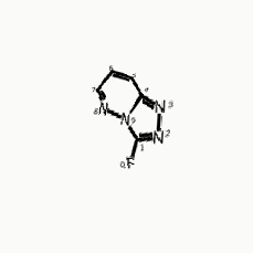 Fc1nnc2cccnn12